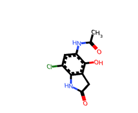 CC(=O)Nc1cc(Cl)c2c(c1O)CC(=O)N2